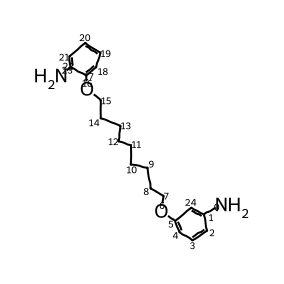 Nc1cccc(OCCCCCCCCCOc2ccccc2N)c1